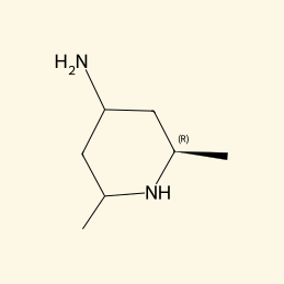 CC1CC(N)C[C@@H](C)N1